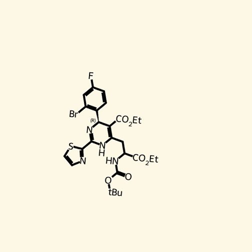 CCOC(=O)C1=C(CC(NC(=O)OC(C)(C)C)C(=O)OCC)NC(c2nccs2)=N[C@H]1c1ccc(F)cc1Br